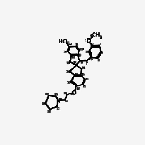 COc1cccc(/C=C2\c3ccc(O)cc3CC23Cc2ccc(OCCN4CCCCC4)cc2C3)c1